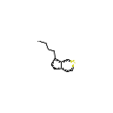 [CH2]CCCc1ccc2ccscc1-2